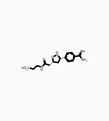 N=C(N)c1ccc([C@@H]2C[C@H](CC(=O)NCCC(=O)O)ON2)cc1